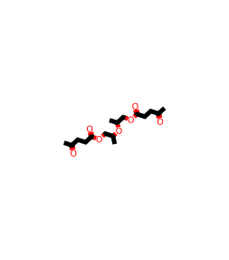 CC(=O)CCC(=O)OCC(C)OC(C)COC(=O)CCC(C)=O